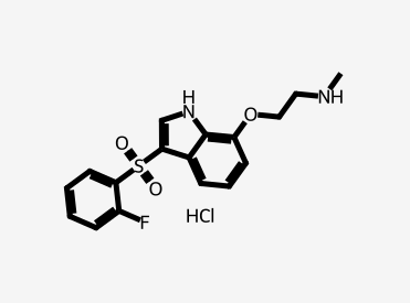 CNCCOc1cccc2c(S(=O)(=O)c3ccccc3F)c[nH]c12.Cl